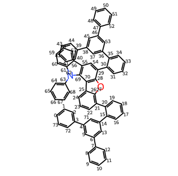 c1ccc(-c2cc(-c3ccccc3)cc(-c3ccccc3-c3cccc4c3oc3c(-c5ccccc5-c5cc(-c6ccccc6)cc(-c6ccccc6)c5)cc5c6ccccc6n(-c6ccccc6)c5c34)c2)cc1